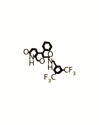 O=C(NCc1cc(C(F)(F)F)cc(C(F)(F)F)c1)C1=C(c2ccccc2)c2ccc(=O)[nH]c2CO1